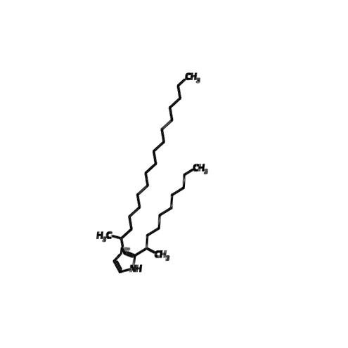 CCCCCCCCCCCCCCCC(C)[n+]1cc[nH]c1C(C)CCCCCCCC